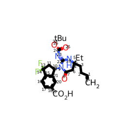 C=CCC[C@]1(CC)CC(=O)N([C@@H]2CC(F)(F)c3ccc(C(=O)O)cc32)/C(=N/C(=O)OC(C)(C)C)N1